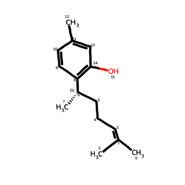 CC(C)=CCC[C@H](C)c1ccc(C)cc1O